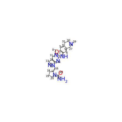 COc1cc2c(cc1Nc1ncc3cnn(C[C@@H]4CCCN4C(N)=O)c3n1)CN(C)CC2